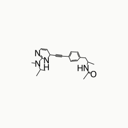 CC(=O)NC(C)Cc1ccc(C#CC2C=CN=C(N(C)C(C)C)N2)cc1